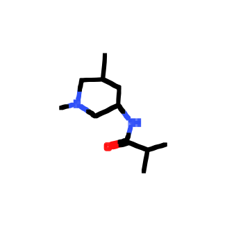 CC1CC(NC(=O)C(C)C)CN(C)C1